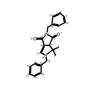 CC1(C)C2C(=O)N(Cc3ccccc3)C(=O)C2=CN1Cc1ccccc1